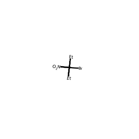 CCC(Br)(CC)[N+](=O)[O-]